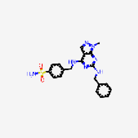 Cn1ncc2c(NCc3ccc(S(N)(=O)=O)cc3)nc(NCc3ccccc3)nc21